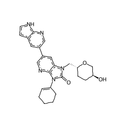 O=c1n(C[C@H]2CC[C@H](O)CO2)c2cc(-c3cnc4[nH]ccc4c3)cnc2n1C1=CCCCC1